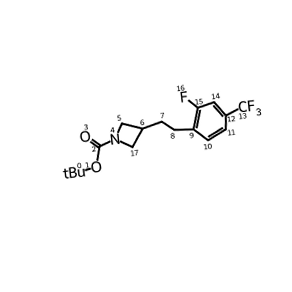 CC(C)(C)OC(=O)N1CC(CCc2ccc(C(F)(F)F)cc2F)C1